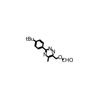 Cc1nc(-c2ccc(C(C)(C)C)cc2)nnc1COC=O